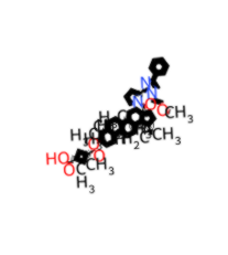 C=C(C)[C@@H]1CC[C@]2(C(=O)N3CCC[C@H]3c3nc(-c4ccccc4)cn3CCOC)CC[C@]3(C)[C@H](CC[C@@H]4[C@@]5(C)CC[C@H](OC(=O)[C@H]6C[C@@H](C(=O)O)C6(C)C)C(C)(C)[C@@H]5CC[C@]43C)[C@@H]12